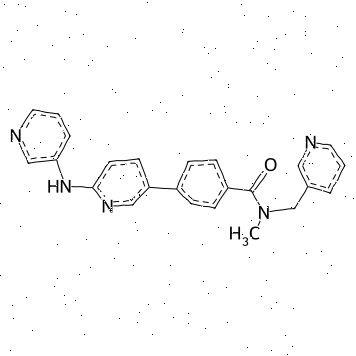 CN(Cc1cccnc1)C(=O)c1ccc(-c2ccc(Nc3cccnc3)nc2)cc1